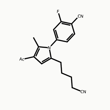 CC(=O)c1cc(CCCCC#N)n(-c2ccc(C#N)c(F)c2)c1C